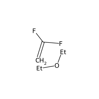 C=C(F)F.CCOCC